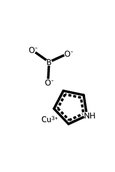 [Cu+3].[O-]B([O-])[O-].c1cc[nH]c1